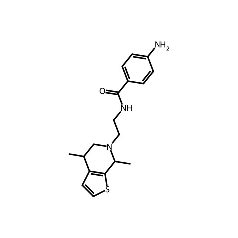 CC1CN(CCNC(=O)c2ccc(N)cc2)C(C)c2sccc21